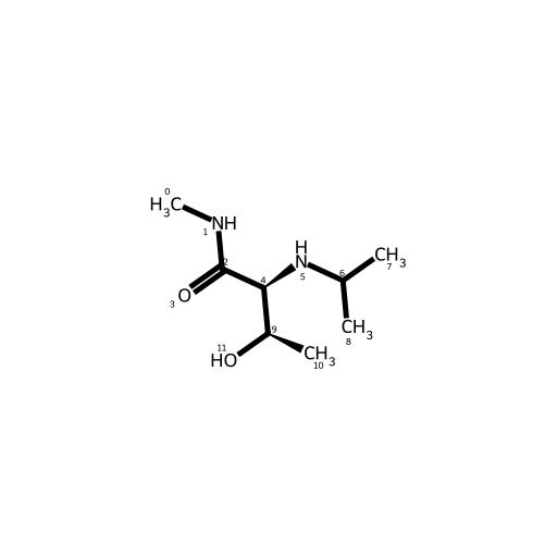 CNC(=O)[C@@H](NC(C)C)[C@@H](C)O